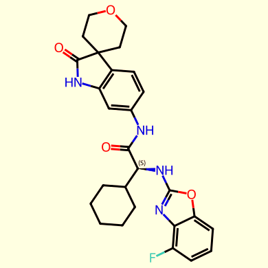 O=C(Nc1ccc2c(c1)NC(=O)C21CCOCC1)[C@@H](Nc1nc2c(F)cccc2o1)C1CCCCC1